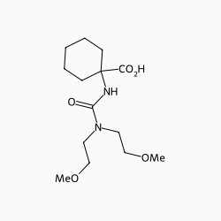 COCCN(CCOC)C(=O)NC1(C(=O)O)CCCCC1